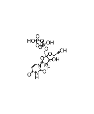 C#CCO[C@]1(COP(=O)(O)OP(=O)(O)O)O[C@@H](n2ccc(=O)[nH]c2=O)[C@H](F)[C@@H]1O